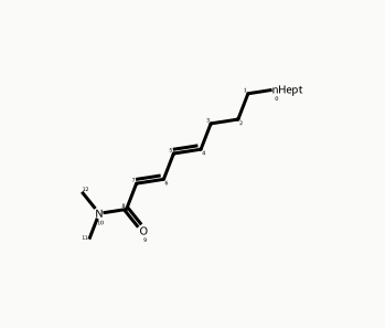 CCCCCCCCCC/C=C/C=C/C(=O)N(C)C